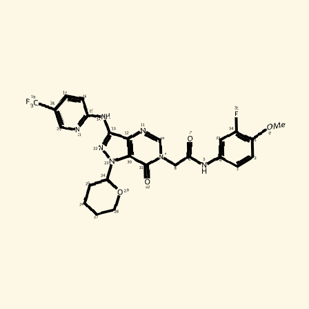 COc1ccc(NC(=O)Cn2cnc3c(Nc4ccc(C(F)(F)F)cn4)nn(C4CCCCO4)c3c2=O)cc1F